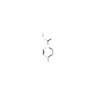 COc1cc[si](C(=O)OC(C)C)cc1